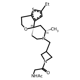 CCc1cc2c(s1)CCO[C@@]21CCN(CC2CN(C(=O)CNC(C)=O)C2)[C@@H](C)C1